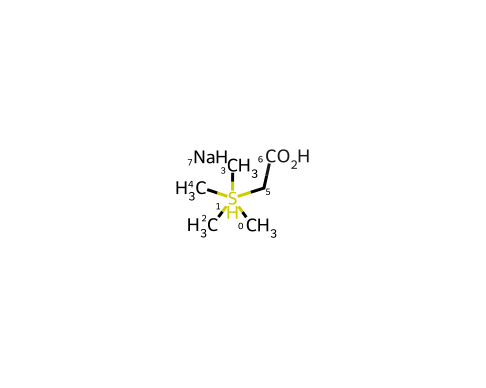 C[SH](C)(C)(C)CC(=O)O.[NaH]